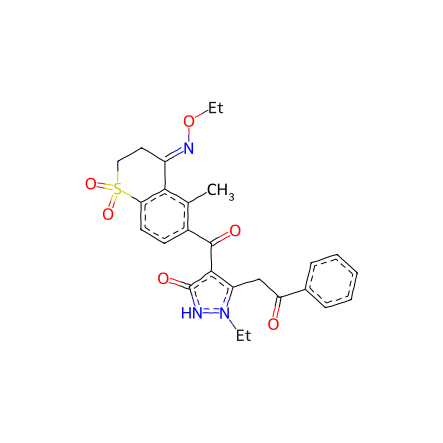 CCON=C1CCS(=O)(=O)c2ccc(C(=O)c3c(CC(=O)c4ccccc4)n(CC)[nH]c3=O)c(C)c21